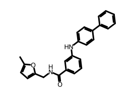 Cc1ccc(CNC(=O)c2cccc(Nc3ccc(-c4ccccc4)cc3)c2)o1